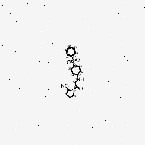 N#CC1CCCN1C(=O)CNC1CCN(S(=O)(=O)c2ccccc2)CC1